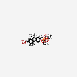 CCOP(=O)(Cc1ccc2c(c1)C(C)(C)c1cc(Br)ccc1-2)OCC